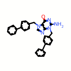 Nc1nc(=O)c2c(ncn2Cc2ccc(-c3ccccc3)cc2)n1Cc1ccc(-c2ccccc2)cc1